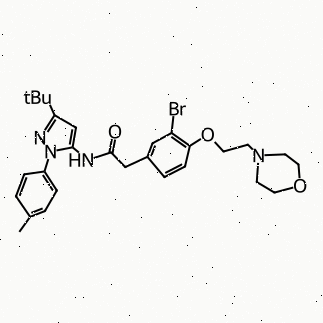 Cc1ccc(-n2nc(C(C)(C)C)cc2NC(=O)Cc2ccc(OCCN3CCOCC3)c(Br)c2)cc1